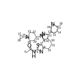 CC(=O)Nc1nc2c(s1)-c1c(c(-c3ccc(C)nc3)nn1C1CCN(C3CC3)CC1)CCC2